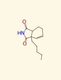 CCCCCC12C=CCCC1C(=O)NC2=O